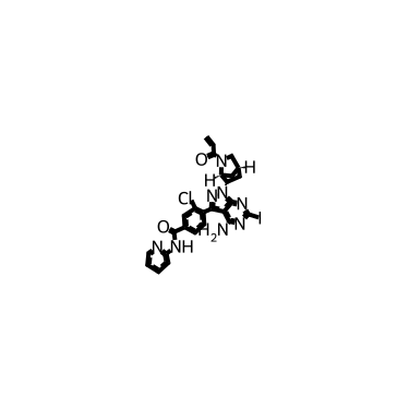 C=CC(=O)N1C[C@@H]2C[C@H]1[C@@H](n1nc(-c3ccc(C(=O)Nc4ccccn4)cc3Cl)c3c(N)nc(I)nc31)C2